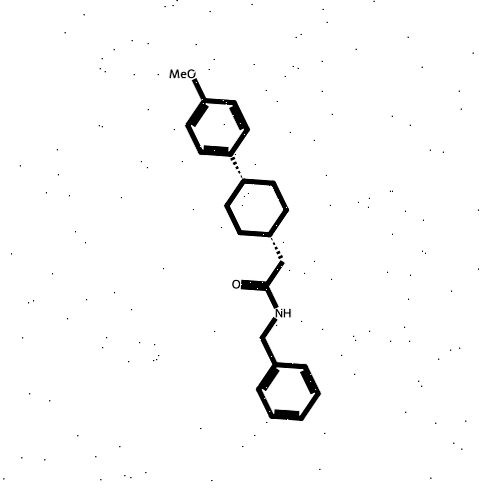 COc1ccc([C@H]2CC[C@@H](CC(=O)NCc3ccccc3)CC2)cc1